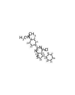 CN(C)c1ccc(-c2nc(Cl)c3c(-c4ccccc4)csc3n2)cc1